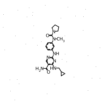 CN(C(=O)N1CCCC1)c1cccc(Nc2ncc(C(N)=O)c(NCC3CC3)n2)c1